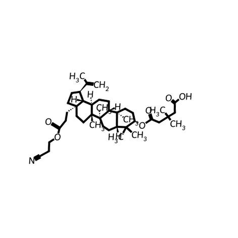 C=C(C)[C@@H]1CC[C@]2(CCC(=O)OCCC#N)CC[C@]3(C)[C@H](CC[C@@H]4[C@@]5(C)CC[C@H](OC(=O)CC(C)(C)CC(=O)O)C(C)(C)[C@@H]5CC[C@]43C)[C@@H]12